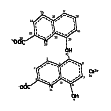 O=C([O-])c1ccc2cccc(O)c2n1.O=C([O-])c1ccc2cccc(O)c2n1.[Ca+2]